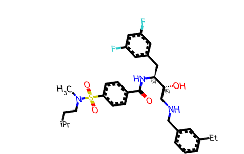 CCc1cccc(CNC[C@@H](O)[C@H](Cc2cc(F)cc(F)c2)NC(=O)c2ccc(S(=O)(=O)N(C)CCC(C)C)cc2)c1